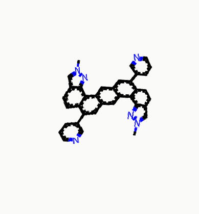 Cn1cc2ccc3c(-c4cccnc4)cc4cc5c(cc(-c6cccnc6)c6ccc7cn(C)nc7c65)cc4c3c2n1